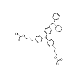 CCC(=O)OCCCc1ccc(N(c2ccc(C=C(c3ccccc3)c3ccccc3)cc2)c2ccc(CCCOC(=O)CC)cc2)cc1